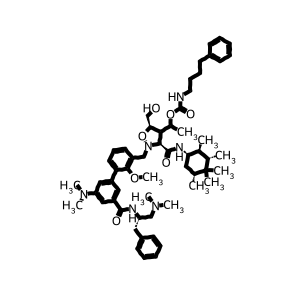 COc1c(CN2O[C@@H](CO)C(C(C)OC(=O)NCCCCc3ccccc3)[C@H]2C(=O)N[C@H]2C[C@@H](C)C(C)(C)[C@@H](C)[C@@H]2C)cccc1-c1cc(C(=O)N[C@@H](Cc2ccccc2)CN(C)C)cc(N(C)C)c1